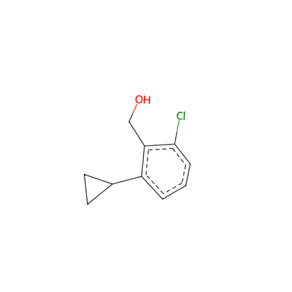 OCc1c(Cl)cccc1C1CC1